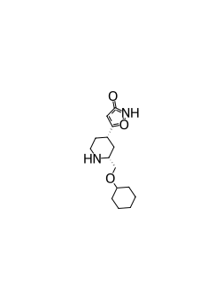 O=c1cc([C@H]2CCN[C@@H](COC3CCCCC3)C2)o[nH]1